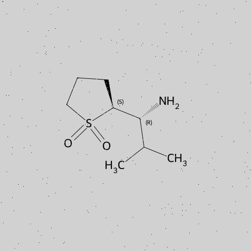 CC(C)[C@@H](N)[C@@H]1CCCS1(=O)=O